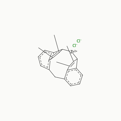 CC1=C(C)[CH]2[Zr+2][CH]3C(C)=C(C)c4c(cccc43)Cc3cccc2c31.[Cl-].[Cl-]